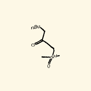 CCCCCC(=O)C[SH](C)(C)=O